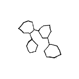 [CH]1CCC(C2CCCC(C3CCCCC3[C]3CCCC3)C2)CC1